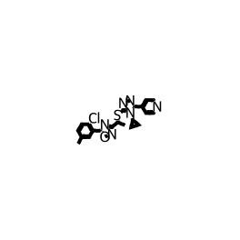 Cc1ccc(Cl)c(-c2nc(C(C)Sc3nnc(-c4ccncc4)n3C3CC3)no2)c1